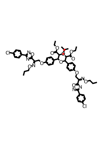 CCCON=C(COc1ccc(C(OC(c2ccc(OCC(=NOCCC)c3nc(-c4ccc(Cl)cc4)no3)cc2)C(OCC)C(=O)OCC)C(OCC)C(=O)OCC)cc1)c1nc(-c2ccc(Cl)cc2)no1